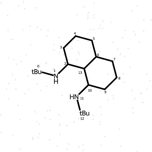 CC(C)(C)NC1CCCC2CCCC(NC(C)(C)C)C21